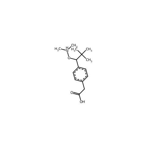 C[SiH](C)OC(c1ccc(CC(=O)O)cc1)C(C)(C)C